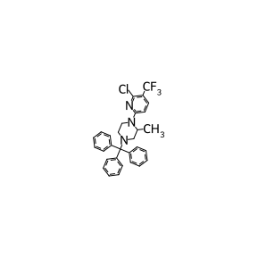 CC1CN(C(c2ccccc2)(c2ccccc2)c2ccccc2)CCN1c1ccc(C(F)(F)F)c(Cl)n1